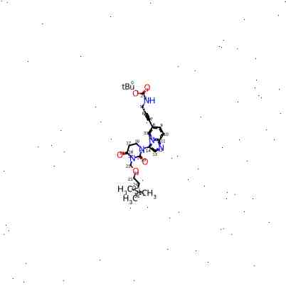 CC(C)(C)OC(=O)NCC#Cc1ccc2ncc(N3CCC(=O)N(COCC[Si](C)(C)C)C3=O)n2c1